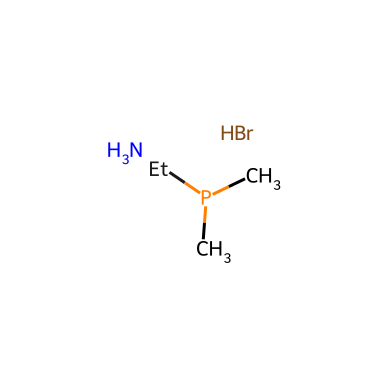 Br.CCP(C)C.N